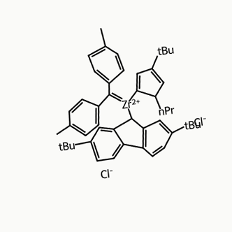 CCCC1C=C(C(C)(C)C)C=[C]1[Zr+2](=[C](c1ccc(C)cc1)c1ccc(C)cc1)[CH]1c2cc(C(C)(C)C)ccc2-c2ccc(C(C)(C)C)cc21.[Cl-].[Cl-]